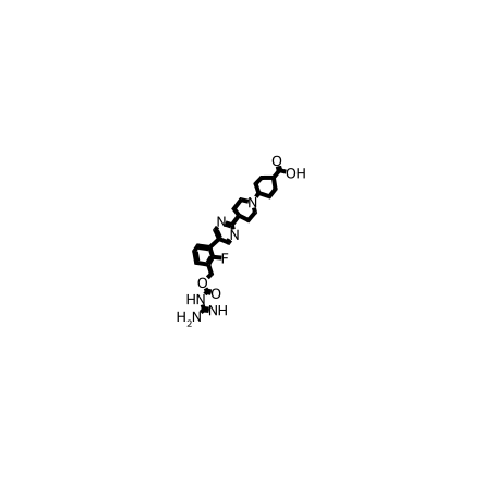 N=C(N)NC(=O)OCc1cccc(-c2cnc(C3CCN(C4CCC(C(=O)O)CC4)CC3)nc2)c1F